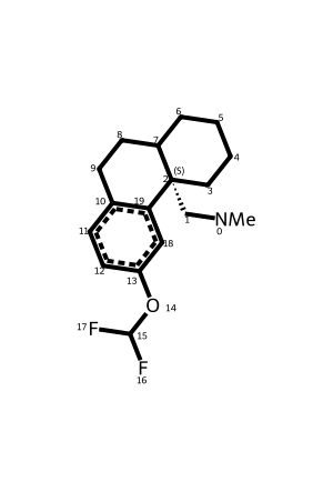 CNC[C@@]12CCCCC1CCc1ccc(OC(F)F)cc12